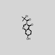 CCC(C)(C)C(=O)n1cnc2cc(O)ccc2c1=O